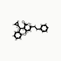 O=c1oc(CCc2ccccc2)cc(O)c1C(c1ccccc1)C1CC1